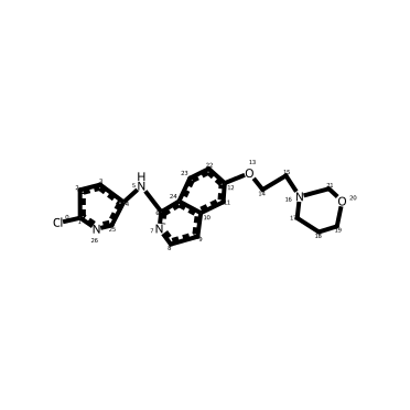 Clc1ccc(Nc2nccc3cc(OCCN4CCCOC4)ccc23)cn1